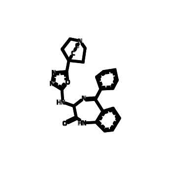 O=C1Nc2ccccc2C(c2ccccc2)=NC1Nc1nnc(C23CCN(CC2)CC3)o1